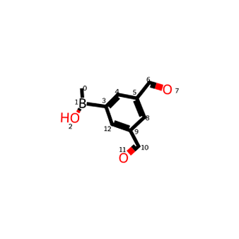 CB(O)c1cc(C=O)cc(C=O)c1